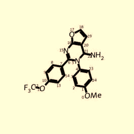 COc1ccc(N2C(c3ccc(OC(F)(F)F)cc3)=Nc3occc3C2N)cc1